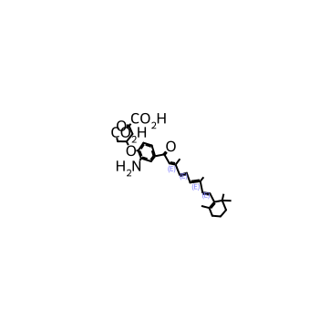 CC1=C(/C=C/C(C)=C/C=C/C(C)=C/C(=O)c2ccc(OC(CC(=O)O)CC(=O)C(=O)O)c(N)c2)C(C)(C)CCC1